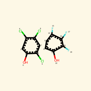 Oc1cc(Cl)c(Cl)cc1Cl.Oc1ccc(F)c(F)c1F